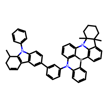 CC1CC=Cc2c1n(-c1ccccc1)c1ccc(-c3cccc(N4c5ccccc5B5c6cccc7c6N(c6cccc4c65)C4(C)CCCCC74C)c3)cc21